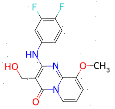 COc1cccn2c(=O)c(CO)c(Nc3ccc(F)c(F)c3)nc12